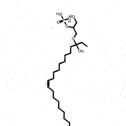 CCCCCCCC/C=C\CCCCCCCCC(O)(CC)OCC(CO)OP(=O)(O)O